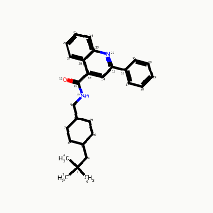 CC(C)(C)CC1CCC(CNC(=O)c2cc(-c3ccccc3)nc3ccccc23)CC1